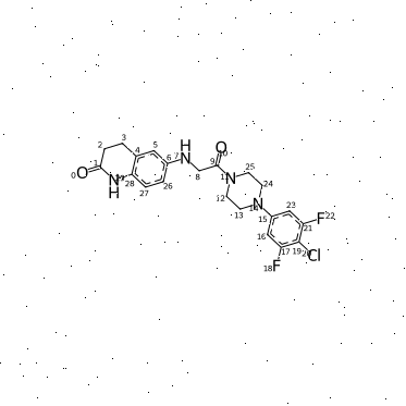 O=C1CCc2cc(NCC(=O)N3CCN(c4cc(F)c(Cl)c(F)c4)CC3)ccc2N1